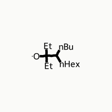 CCCCCCC(CCCC)C([O])(CC)CC